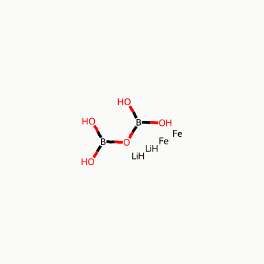 OB(O)OB(O)O.[Fe].[Fe].[LiH].[LiH]